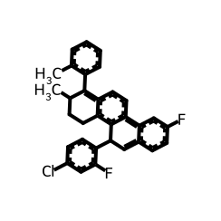 Cc1ccccc1C1=c2ccc3c(c2CCC1C)C(c1ccc(Cl)cc1F)C=c1ccc(F)cc1=3